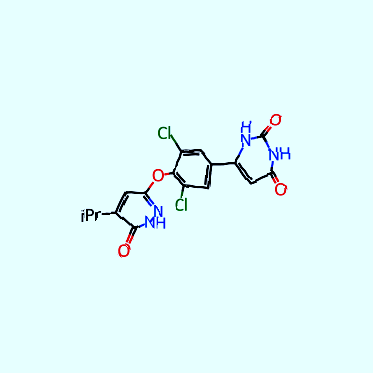 CC(C)c1cc(Oc2c(Cl)cc(-c3cc(=O)[nH]c(=O)[nH]3)cc2Cl)n[nH]c1=O